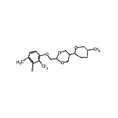 Cc1ccc(OCC2OCC([C@@H]3CCC(C)CO3)CO2)c(C(F)(F)F)c1F